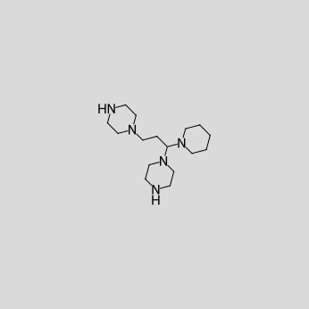 C1CCN(C(CCN2CCNCC2)N2CCNCC2)CC1